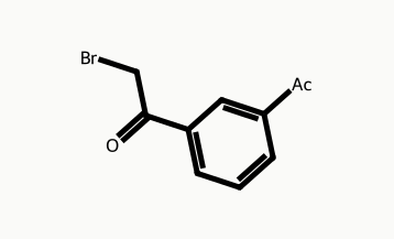 CC(=O)c1cccc(C(=O)CBr)c1